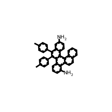 Cc1ccc(-c2c(-c3ccc(C)cc3)c3c4cccc(N)c4c4ccc5ccccc5c4c3c3ccc(N)cc23)cc1